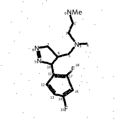 CNCCN(C)CC1CN=NC1c1ccc(F)cc1F